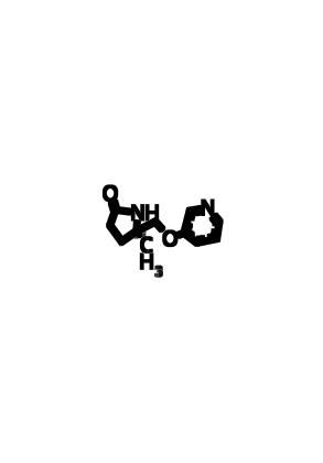 C[C@@]1(COc2cccnc2)CCC(=O)N1